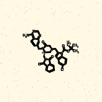 CC(C)(C)OC(=O)n1c(CN2CC(=O)N(Cc3ccc4c(N)ncnc4c3)[C@@H](CN3C(=O)c4ccccc4C3=O)C2)cc2cc(Cl)ccc21